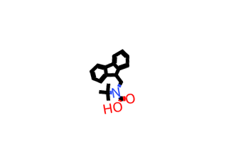 CC(C)(C)N(CC1c2ccccc2-c2ccccc21)C(=O)O